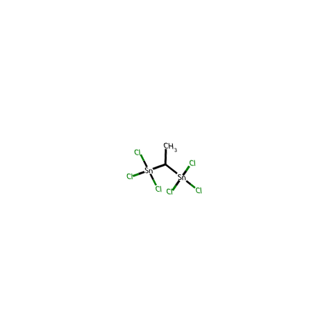 C[CH]([Sn]([Cl])([Cl])[Cl])[Sn]([Cl])([Cl])[Cl]